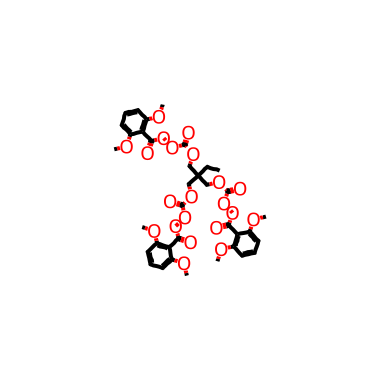 CCC(COC(=O)OOC(=O)c1c(OC)cccc1OC)(COC(=O)OOC(=O)c1c(OC)cccc1OC)COC(=O)OOC(=O)c1c(OC)cccc1OC